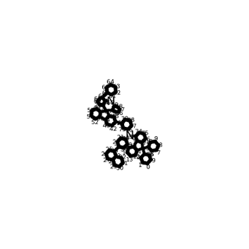 c1ccc(C2(c3ccccc3)c3ccccc3-c3c(N(c4ccc(-c5cccc6ccccc56)cc4)c4cccc(-c5ccc6c(c5)C5(c7ccccc7-6)c6ccccc6-n6c7ccccc7c7cccc5c76)c4)cccc32)cc1